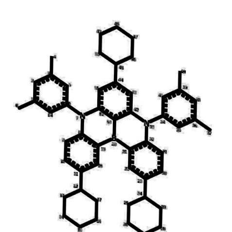 Cc1cc(C)cc(N2c3ccc(C4CCCCC4)cc3B3c4cc(C5CCCCC5)ccc4N(c4cc(C)cc(C)c4)c4cc(C5CCCCC5)cc2c43)c1